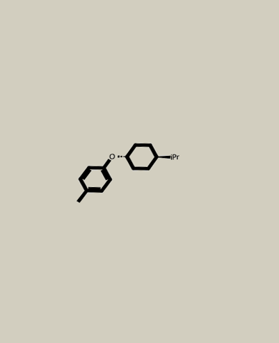 Cc1ccc(O[C@H]2CC[C@H](C(C)C)CC2)cc1